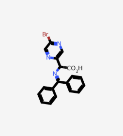 O=C(O)C(N=C(c1ccccc1)c1ccccc1)c1cnc(Br)cn1